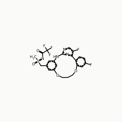 CS(=O)(Cc1cc2cc(c1)OCCCOc1cc(F)ccc1-c1nc(ncc1F)N2)=NC(=O)C(F)(F)F